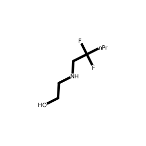 CCCC(F)(F)CNCCO